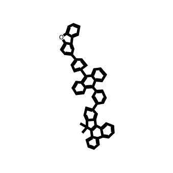 CC1(C)c2ccc(-c3cccc(-c4c5ccccc5c(-c5ccc(-c6ccc7oc8ccccc8c7c6)cc5)c5ccccc45)c3)cc2-c2c1c1ccccc1c1ccccc21